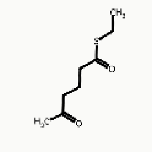 CCSC(=O)CCCC(C)=O